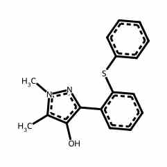 Cc1c(O)c(-c2ccccc2Sc2ccccc2)nn1C